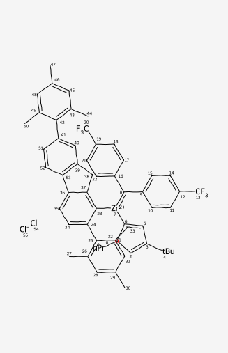 CCCC1C=C(C(C)(C)C)C=[C]1[Zr+2](=[C](c1ccc(C(F)(F)F)cc1)c1ccc(C(F)(F)F)cc1)[c]1c(-c2c(C)cc(C)cc2C)ccc2c1Cc1cc(-c3c(C)cc(C)cc3C)ccc1-2.[Cl-].[Cl-]